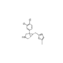 Cc1cnc(CC2C3CNCC32c2ccc(Cl)c(Cl)c2)o1